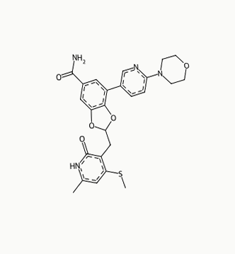 CSc1cc(C)[nH]c(=O)c1CC1Oc2cc(C(N)=O)cc(-c3ccc(N4CCOCC4)nc3)c2O1